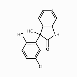 O=C1NC2C=IC=CC2C1(O)c1cc(Cl)ccc1O